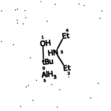 CC(C)(C)O.CCNCC.[AlH3]